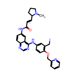 CN1CCCC1/C=C/C(=O)Nc1ccc2ncnc(Nc3ccc(OCc4ccccn4)c(CI)c3)c2c1